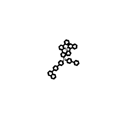 C1=C(c2ccc(N(c3ccc(-c4ccccc4)cc3)c3ccc(-c4ccc(-c5cccc6ccccc56)cc4)cc3)cc2)C(n2c3ccccc3c3c4ccccc4ccc32)=C(c2ccccc2)CC1